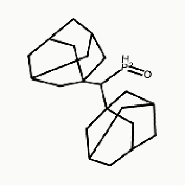 O=[PH2]C(C12CC3CC(CC(C3)C1)C2)C12CC3CC(CC(C3)C1)C2